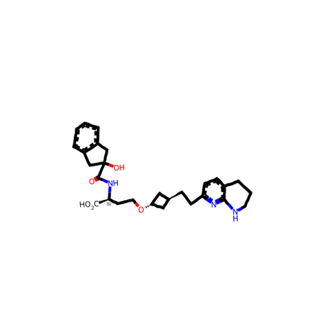 O=C(O)[C@H](CCO[C@H]1C[C@H](CCc2ccc3c(n2)NCCC3)C1)NC(=O)C1(O)Cc2ccccc2C1